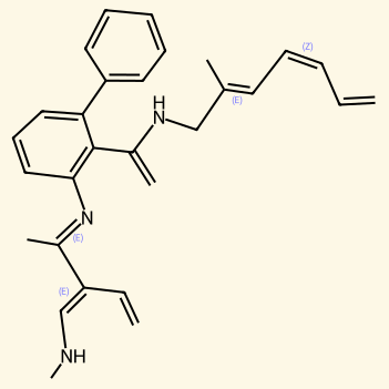 C=C/C=C\C=C(/C)CNC(=C)c1c(/N=C(C)/C(C=C)=C/NC)cccc1-c1ccccc1